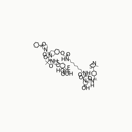 Cc1ncsc1-c1ccc([C@H](C)NC(=O)[C@@H]2C[C@@H](O)CN2C(=O)[C@@H](NC(=O)CCCCCCCNC(=O)COc2ccc3c(c2)CN(C(=O)[C@@H](NC(=O)c2cc4cc(C(F)(F)P(=O)(O)O)ccc4s2)C(C)(C)C)[C@H](C(=O)N2CCO[C@H](c4ccccc4)C2)C3)C(C)(C)C)cc1